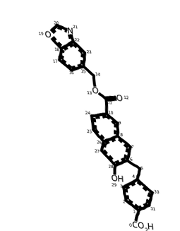 O=C(O)c1ccc(Cc2cc3cc(C(=O)OCc4ccc5ocnc5c4)ccc3cc2O)cc1